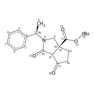 C[C@H](c1ccccc1)N1C[C@]2(C(=O)OC(C)(C)C)CCC(=O)C2C1=O